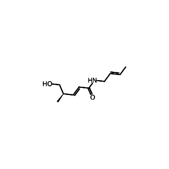 C/C=C/CNC(=O)/C=C/[C@@H](C)CO